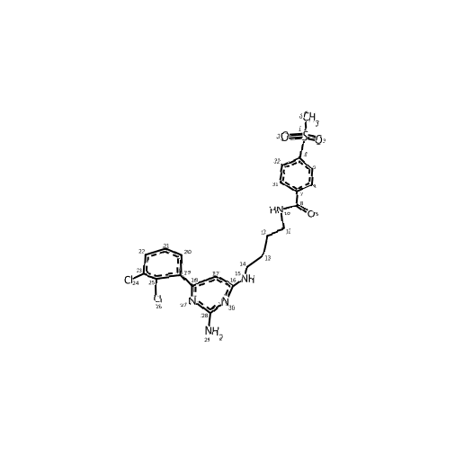 CS(=O)(=O)c1ccc(C(=O)NCCCCNc2cc(-c3cccc(Cl)c3Cl)nc(N)n2)cc1